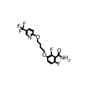 NC(=O)c1c(F)ccc(OCCCCOc2ccc(C(F)(F)F)cn2)c1F